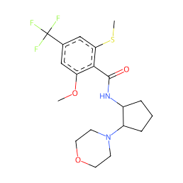 COc1cc(C(F)(F)F)cc(SC)c1C(=O)NC1CCCC1N1CCOCC1